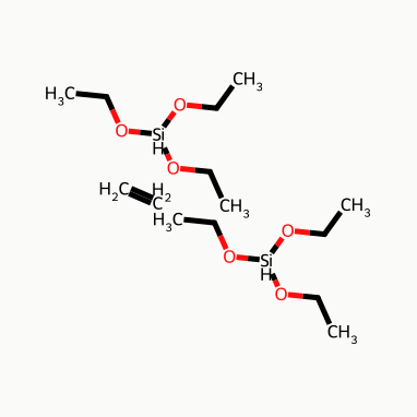 C=C.CCO[SiH](OCC)OCC.CCO[SiH](OCC)OCC